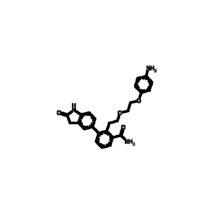 NC(=O)c1cccc(-c2ccc3c(c2)CC(=O)N3)c1CCOCCOc1ccc(N)cc1